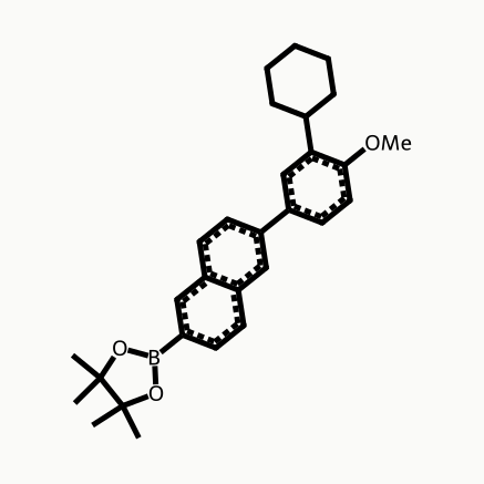 COc1ccc(-c2ccc3cc(B4OC(C)(C)C(C)(C)O4)ccc3c2)cc1C1CCCCC1